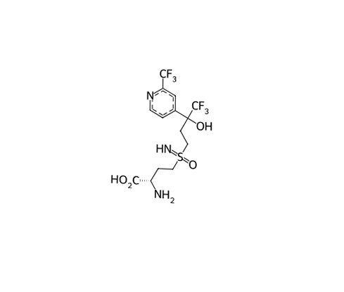 N=S(=O)(CC[C@H](N)C(=O)O)CCC(O)(c1ccnc(C(F)(F)F)c1)C(F)(F)F